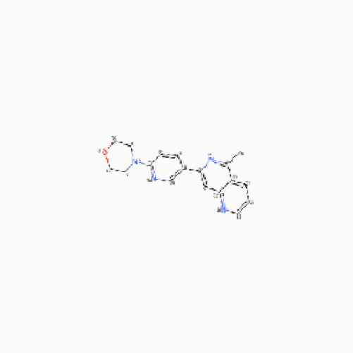 Cc1nc(-c2ccc(N3CCOCC3)nc2)cc2ncccc12